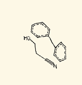 N#CCCO.c1ccc(-c2ccccc2)cc1